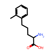 Cc1ccccc1CCCC(N)C(=O)O